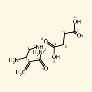 C=CC(N)=O.NCCN.O=C(O)CCC(=O)O